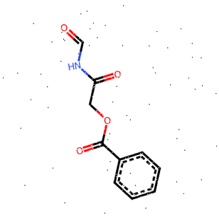 O=CNC(=O)COC(=O)c1ccccc1